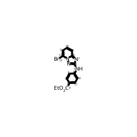 CCOC(=O)c1ccc(Nc2nc3cccc(Br)n3n2)cc1